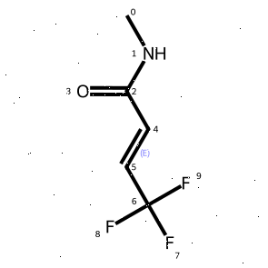 CNC(=O)/C=C/C(F)(F)F